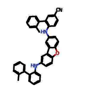 Cc1ccccc1-c1ccccc1Nc1ccc2oc3ccc(Nc4ccc(C#N)cc4-c4ccccc4C)cc3c2c1